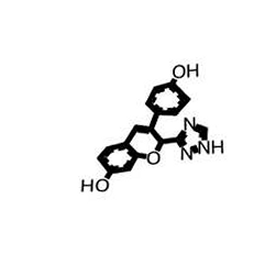 Oc1ccc(C2=Cc3ccc(O)cc3OC2c2nc[nH]n2)cc1